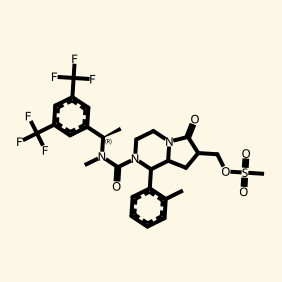 Cc1ccccc1C1C2CC(COS(C)(=O)=O)C(=O)N2CCN1C(=O)N(C)[C@H](C)c1cc(C(F)(F)F)cc(C(F)(F)F)c1